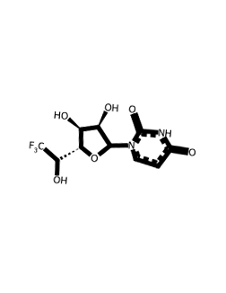 O=c1ccn(C2O[C@H](C(O)C(F)(F)F)[C@@H](O)[C@H]2O)c(=O)[nH]1